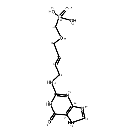 O=c1[nH]c(NCC=CCOCP(=O)(O)O)nc2nc[nH]c12